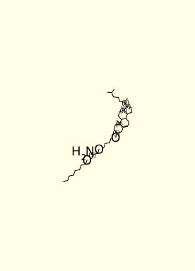 CCCCCCCCOC[C@H](N)COCCCCO[C@H]1CC[C@@]2(C)C(=CCC3C2CC[C@@]2(C)C3CC[C@@H]2[C@H](C)CCCC(C)C)C1